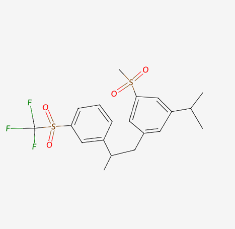 CC(C)c1cc(CC(C)c2cccc(S(=O)(=O)C(F)(F)F)c2)cc(S(C)(=O)=O)c1